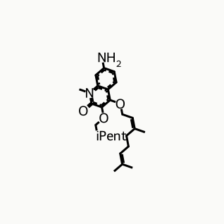 CCCC(C)COc1c(OCC=C(C)CCC=C(C)C)c2ccc(N)cc2n(C)c1=O